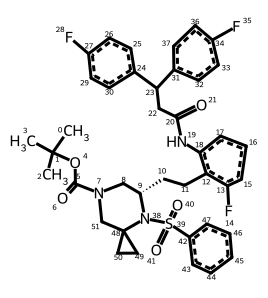 CC(C)(C)OC(=O)N1C[C@H](CCc2c(F)cccc2NC(=O)CC(c2ccc(F)cc2)c2ccc(F)cc2)N(S(=O)(=O)c2ccccc2)C2(CC2)C1